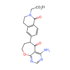 CCOC(=O)CN1CCc2cc(C3CCOc4ncnc(N)c4C3=O)ccc2C1=O